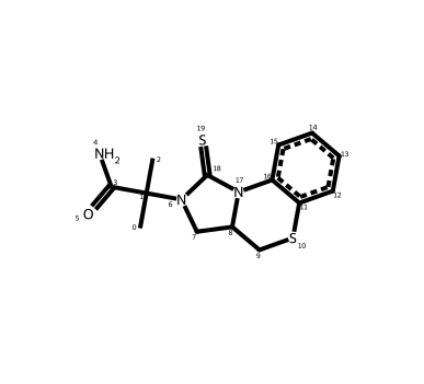 CC(C)(C(N)=O)N1CC2CSc3ccccc3N2C1=S